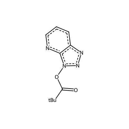 CC(C)(C)C(=O)On1nnc2cccnc21